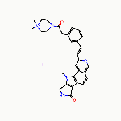 Cn1c2c(c3ccc4cnc(/C=C/c5cccc(CC(=O)N6CC[N+](C)(C)CC6)c5)cc4c31)C(=O)NC2.[I-]